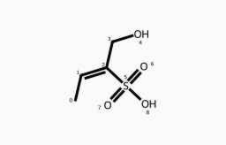 CC=C(CO)S(=O)(=O)O